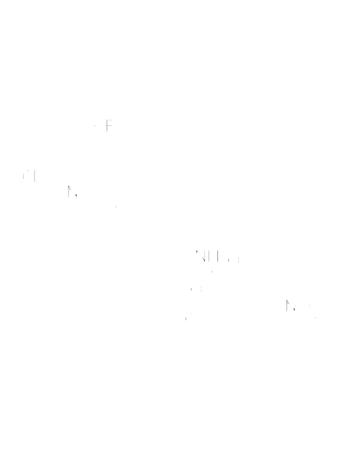 O=[N+]([O-])c1ccc(Cl)c(S(=O)(=O)NCC#CCOc2cc(C(F)(F)F)cc(Cl)n2)c1